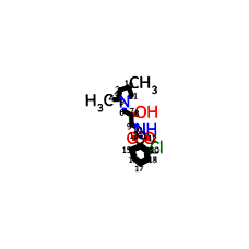 CC1CC(C)N(CC(O)CNS(=O)(=O)c2ccccc2Cl)C1